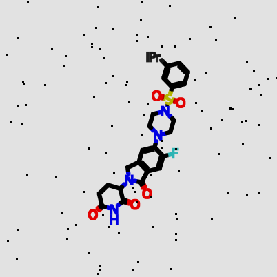 CC(C)c1cccc(S(=O)(=O)N2CCN(c3cc4c(cc3F)C(=O)N(C3CCC(=O)NC3=O)C4)CC2)c1